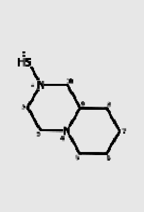 SN1CCN2CCCCC2C1